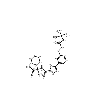 CC(C)(C)OC(=O)NCc1cccc(-c2ccc(C(=O)N[C@](C)(C(N)=O)C3CCCCC3)o2)c1